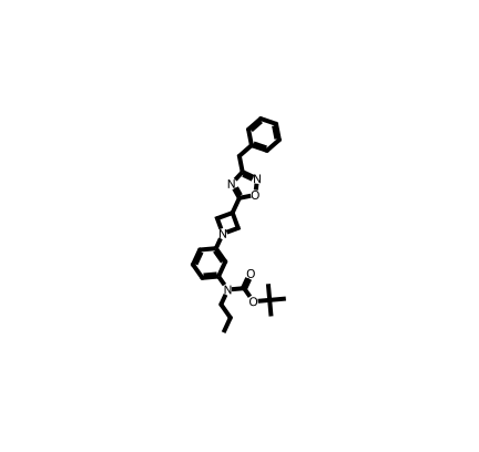 CCCN(C(=O)OC(C)(C)C)c1cccc(N2CC(c3nc(Cc4ccccc4)no3)C2)c1